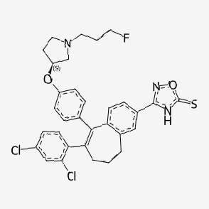 FCCCN1CC[C@H](Oc2ccc(C3=C(c4ccc(Cl)cc4Cl)CCCc4cc(-c5noc(=S)[nH]5)ccc43)cc2)C1